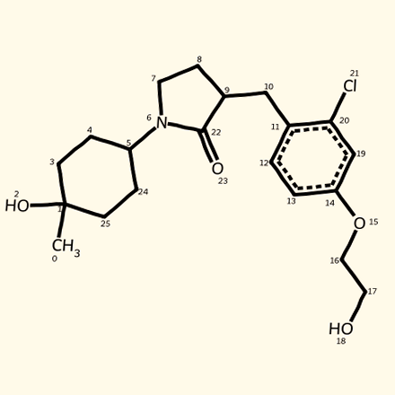 CC1(O)CCC(N2CCC(Cc3ccc(OCCO)cc3Cl)C2=O)CC1